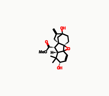 C=C1C[C@]23C[C@@]1(O)CC[C@@]21O[C@]12C=C[C@H](O)C(C)(C)[C@H]2[C@@H]3C(=O)OC